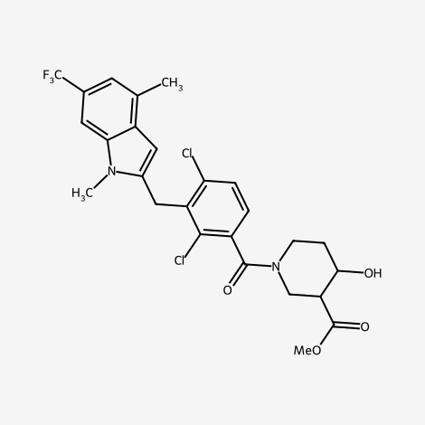 COC(=O)C1CN(C(=O)c2ccc(Cl)c(Cc3cc4c(C)cc(C(F)(F)F)cc4n3C)c2Cl)CCC1O